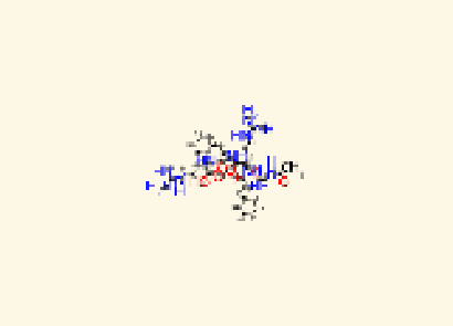 CC(=O)NCC(=O)N[C@H](CC1CCCCC1)C(=O)N[C@@H](CCCNC(=N)N)C(=O)N[C@H](CC1CCCCC1)C(=O)NC(CCCNC(=N)N)C(=O)O